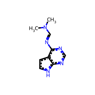 CN(C)C=Nc1ncnc2[nH]ccc12